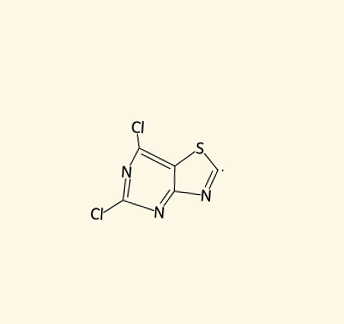 Clc1nc(Cl)c2s[c]nc2n1